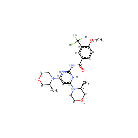 COc1ccc(C(=O)Nc2nc(N3CCOC[C@@H]3C)cc(N3CCOC[C@@H]3C)n2)cc1C(F)(F)F